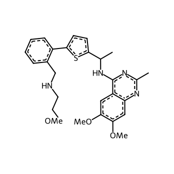 COCCNCc1ccccc1-c1ccc(C(C)Nc2nc(C)nc3cc(OC)c(OC)cc23)s1